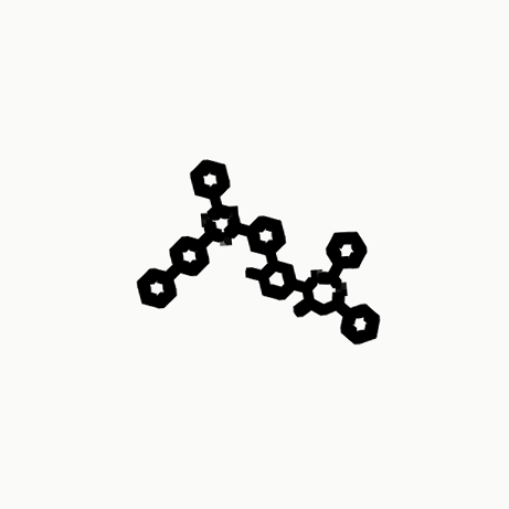 C=C1CC(c2ccccc2)=NC(c2ccccc2)=NC1C1=CC(c2cccc(-c3nc(-c4ccccc4)nc(-c4ccc(-c5ccccc5)cc4)n3)c2)C(C)C=C1